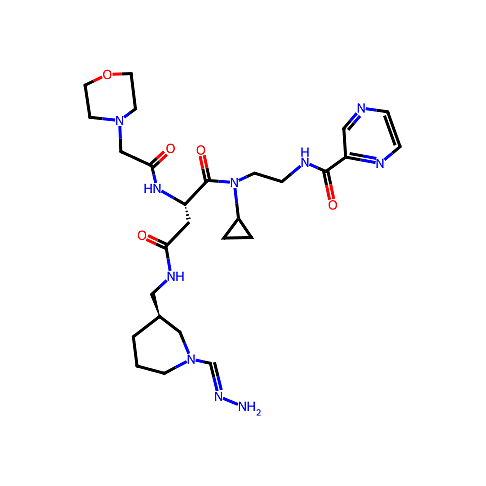 NN=CN1CCC[C@@H](CNC(=O)C[C@H](NC(=O)CN2CCOCC2)C(=O)N(CCNC(=O)c2cnccn2)C2CC2)C1